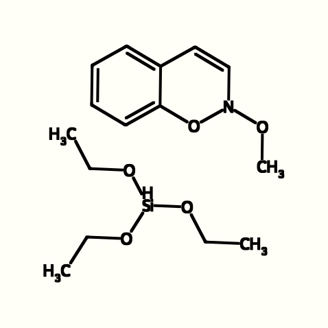 CCO[SiH](OCC)OCC.CON1C=Cc2ccccc2O1